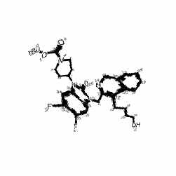 CC(C)(C)OC(=O)N1CCC(n2c(=O)n(Cc3ncc4ccccc4c3CCCCO)c3cc(F)c(F)cc32)CC1